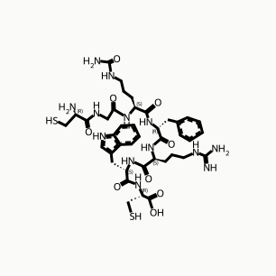 N=C(N)NCCC[C@H](NC(=O)[C@@H](Cc1ccccc1)NC(=O)[C@H](CCCNC(N)=O)NC(=O)CNC(=O)[C@@H](N)CS)C(=O)N[C@@H](Cc1c[nH]c2ccccc12)C(=O)N[C@@H](CS)C(=O)O